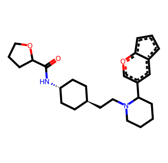 O=C(N[C@H]1CC[C@H](CCN2CCCCC2c2coc3cccc-3c2)CC1)C1CCCO1